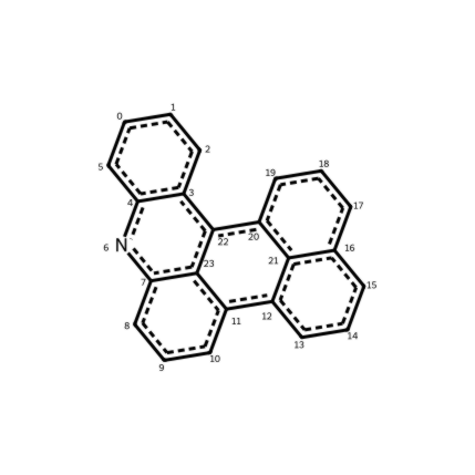 c1ccc2c(c1)nc1cccc3c4cccc5cccc(c54)c2c13